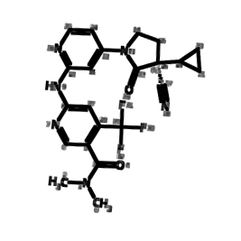 CN(C)C(=O)c1cnc(Nc2cc(N3CC[C@@](C#N)(C4CC4)C3=O)ccn2)cc1C(F)(F)F